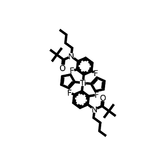 CCCCN(C(=O)C(C)(C)C)c1ccc(F)[c]([Ti]([C]2=CC=CC2)([C]2=CC=CC2)[c]2c(F)ccc(N(CCCC)C(=O)C(C)(C)C)c2F)c1F